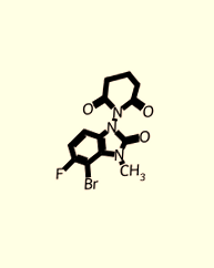 Cn1c(=O)n(N2C(=O)CCCC2=O)c2ccc(F)c(Br)c21